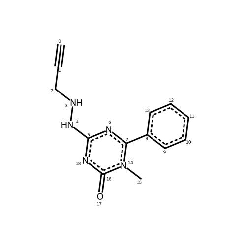 C#CCNNc1nc(-c2ccccc2)n(C)c(=O)n1